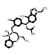 CC[C@@H]1CN(Cc2cc([C@H](CC(=O)O)c3ccc4c(nnn4CC)c3C)ccc2Cl)S(O)(O)c2cccnc2O1